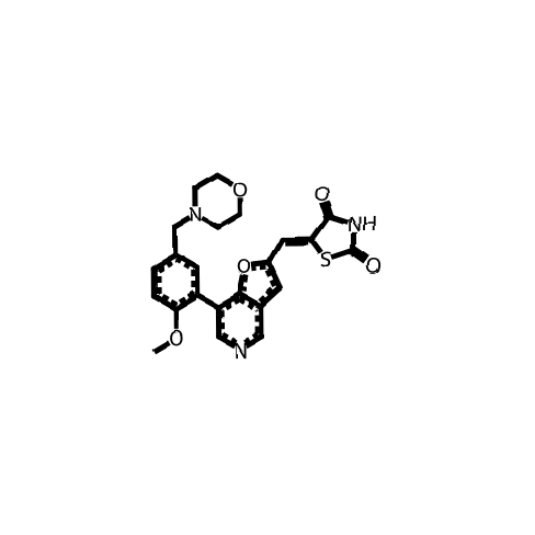 COc1ccc(CN2CCOCC2)cc1-c1cncc2cc(/C=C3\SC(=O)NC3=O)oc12